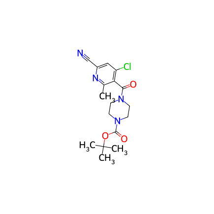 Cc1nc(C#N)cc(Cl)c1C(=O)N1CCN(C(=O)OC(C)(C)C)CC1